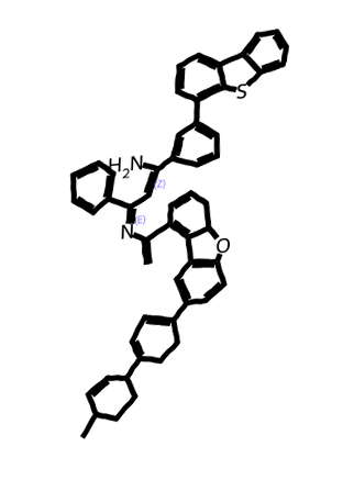 C=C(/N=C(\C=C(/N)c1cccc(-c2cccc3c2sc2ccccc23)c1)c1ccccc1)C1=C2c3cc(C4=CC=C(C5C=CC(C)CC5)CC4)ccc3OC2CC=C1